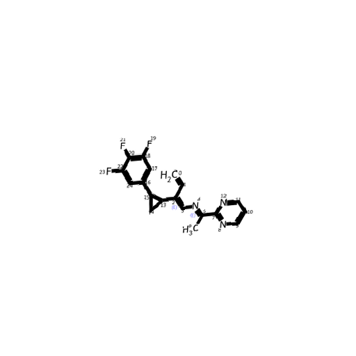 C=C/C(=C\N=C(/C)c1ncccn1)C1CC1c1cc(F)c(F)c(F)c1